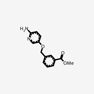 COC(=O)c1cccc(COc2ccc(N)nc2)c1